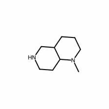 CN1CCCC2CNCCC21